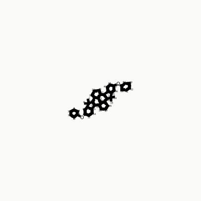 CC1(C)c2cc(Oc3ccccc3)ccc2-c2c1c1cccc3c4c(c5cccc2c5c31)C(C)(C)c1cc(Oc2ccccc2)ccc1-4